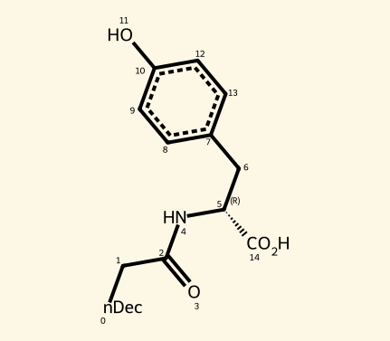 CCCCCCCCCCCC(=O)N[C@H](Cc1ccc(O)cc1)C(=O)O